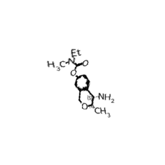 CCN(C)C(=O)Oc1ccc2c(c1)CO[C@@H](C)[C@H]2N